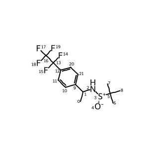 CC(N[S@@+]([O-])C(C)(C)C)c1ccc(C(F)(F)C(F)(F)F)cc1